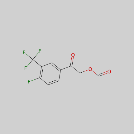 O=COCC(=O)c1ccc(F)c(C(F)(F)F)c1